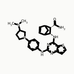 CN(C)C1CCN(c2ccc(Nc3nc(N[C@@H]4C5C=CC(C5)[C@@H]4C(N)=O)c4sccc4n3)cc2)C1